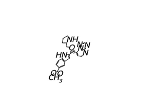 COC(=O)c1ccc2[nH]c([C@@H](OCC3CCCN3)c3ccnc4ncnn34)cc2c1